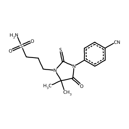 CC1(C)C(=O)N(c2ccc(C#N)cc2)C(=S)N1CCCS(N)(=O)=O